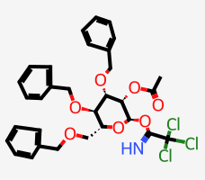 CC(=O)O[C@@H]1[C@@H](OC(=N)C(Cl)(Cl)Cl)O[C@H](COCc2ccccc2)[C@@H](OCc2ccccc2)[C@@H]1OCc1ccccc1